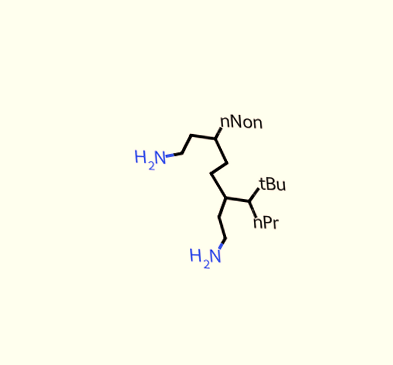 CCCCCCCCCC(CCN)CCC(CCN)C(CCC)C(C)(C)C